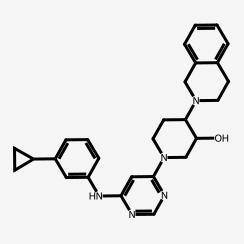 OC1CN(c2cc(Nc3cccc(C4CC4)c3)ncn2)CCC1N1CCc2ccccc2C1